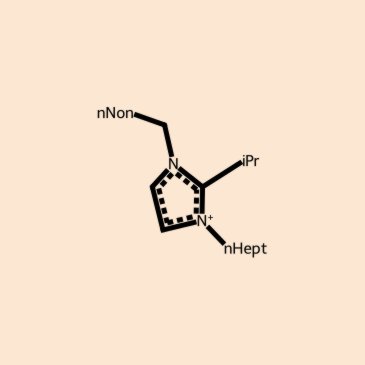 CCCCCCCCCCn1cc[n+](CCCCCCC)c1C(C)C